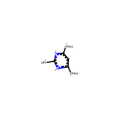 [CH2]CCc1nc(CCCCCC)cc(CCCCCC)n1